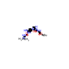 CN(C)CCNC(=O)ONC(=N)c1ccc(N2CC[C@H](NC(=O)NCCC(=O)OCC(C)(C)C)C2=O)cc1